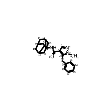 Cn1ncc(C(=O)NC23CC4CC(CC(C4)C2)C3)c1Sc1ccccc1